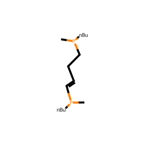 CCCCP(C)C=CCCP(C)CCCC